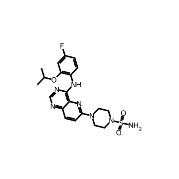 CC(C)Oc1cc(F)ccc1Nc1ncnc2ccc(N3CCN(S(N)(=O)=O)CC3)nc12